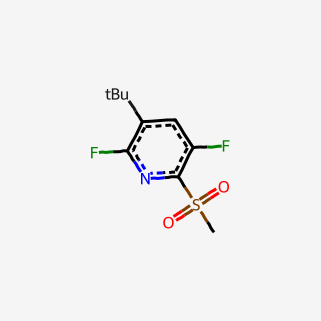 CC(C)(C)c1cc(F)c(S(C)(=O)=O)nc1F